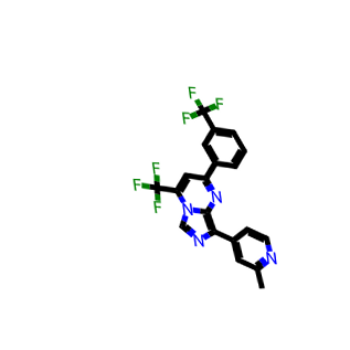 Cc1cc(-c2ncn3c(C(F)(F)F)cc(-c4cccc(C(F)(F)F)c4)nc23)ccn1